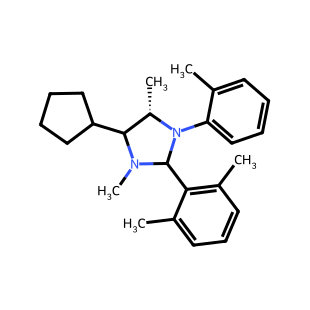 Cc1ccccc1N1C(c2c(C)cccc2C)N(C)C(C2CCCC2)[C@@H]1C